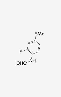 CSc1ccc(NC=O)c(F)c1